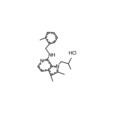 Cc1ccccc1CNc1nccc2c(C)c(C)n(CC(C)C)c12.Cl